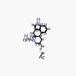 CCCN1C[C@H](CSCC(C)=O)CC2c3cccc4[nH]cc(c34)C[C@]21N